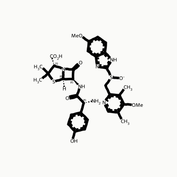 CC1(C)S[C@@H]2[C@H](NC(=O)[C@H](N)c3ccc(O)cc3)C(=O)N2[C@H]1C(=O)O.COc1ccc2[nH]c([S+]([O-])Cc3ncc(C)c(OC)c3C)nc2c1